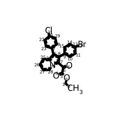 CCOC(=O)C(=O)c1c(-c2ccc(Br)cc2)c(-c2ccc(Cl)cc2)c2ccccn12